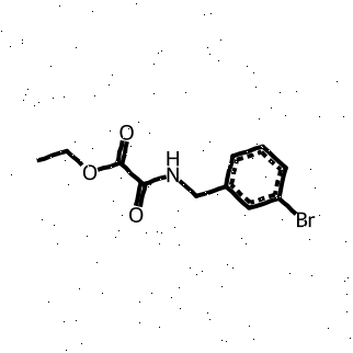 CCOC(=O)C(=O)NCc1cccc(Br)c1